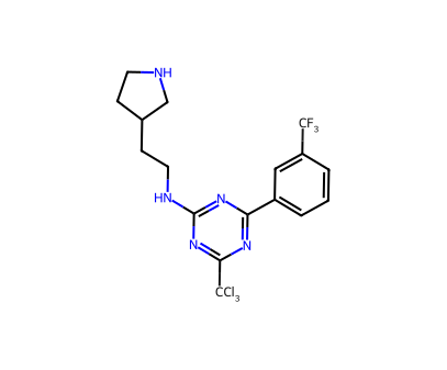 FC(F)(F)c1cccc(-c2nc(NCCC3CCNC3)nc(C(Cl)(Cl)Cl)n2)c1